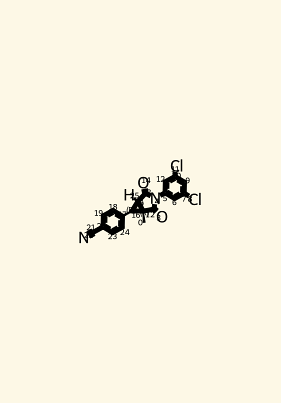 C[C@]12C(=O)N(c3cc(Cl)cc(Cl)c3)C(=O)[C@H]1[C@@H]2c1ccc(C#N)cc1